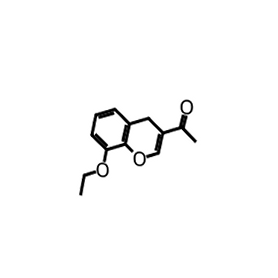 CCOc1cccc2c1OC=C(C(C)=O)C2